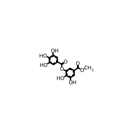 COC(=O)c1cc(O)c(O)c(OC(=O)c2cc(O)c(O)c(O)c2)c1